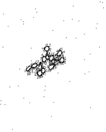 c1ccc(-n2c3ccc(N(c4ccc5ccccc5c4)c4cccc5ccccc45)cc3c3cc([Si](c4ccccc4)(c4ccccc4)c4ccccc4)ccc32)cc1